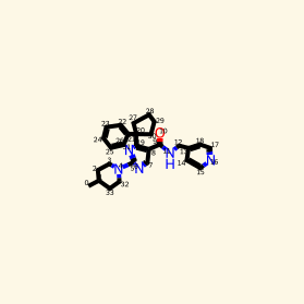 CC1CCN(c2ncc(C(=O)NCc3ccncc3)c(C3(c4ccccc4)CCCC3)n2)CC1